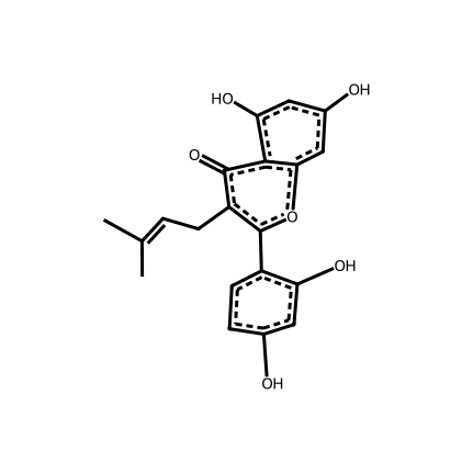 CC(C)=CCc1c(-c2ccc(O)cc2O)oc2cc(O)cc(O)c2c1=O